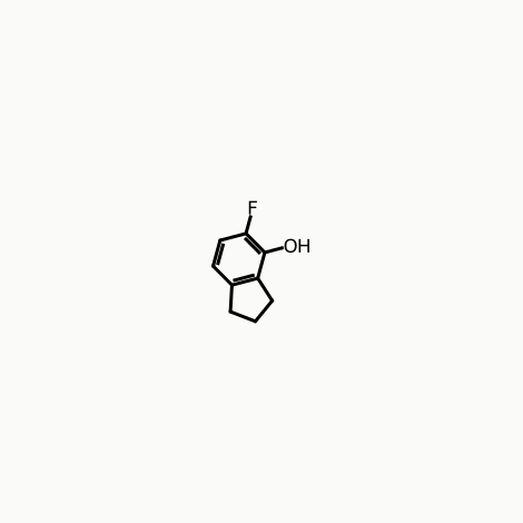 Oc1c(F)ccc2c1CCC2